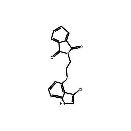 O=C1c2ccccc2C(=O)N1CCOc1cccc2[nH]cc(Cl)c12